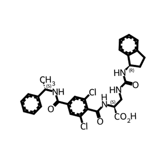 C[C@H](NC(=O)c1cc(Cl)c(C(=O)N[C@@H](CNC(=O)N[C@@H]2CCc3ccccc32)C(=O)O)c(Cl)c1)c1ccccc1